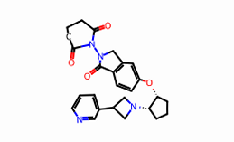 O=C1c2ccc(O[C@@H]3CCC[C@@H]3N3CC(c4cccnc4)C3)cc2CN1N1C(=O)CCCC1=O